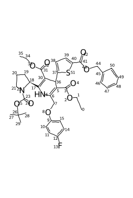 CCOC(=O)C1=C(COc2ccc(F)cc2)NC([C@@H]2CCCN2C(=O)OC(C)(C)C)=C(C(=O)OCC)C1c1ccc(C(=O)OCc2ccccc2)s1